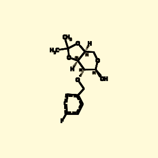 CC1(C)O[C@@H]2[C@@H](OCc3ccc(F)cc3)[C@H](O)OC[C@@H]2O1